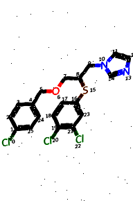 Clc1ccc(COCC(Cn2ccnc2)Sc2ccc(Cl)c(Cl)c2)cc1